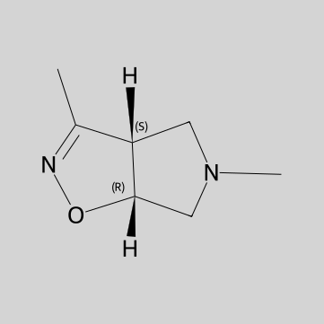 CC1=NO[C@H]2CN(C)C[C@@H]12